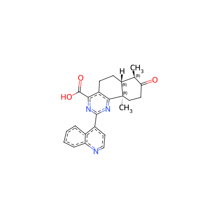 C[C@H]1C(=O)CC[C@@]2(C)c3nc(-c4ccnc5ccccc45)nc(C(=O)O)c3CC[C@H]12